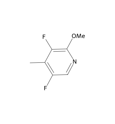 COc1ncc(F)c(C)c1F